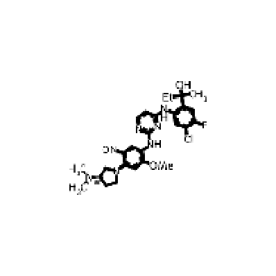 CCC(C)(O)c1cc(F)c(Cl)cc1Nc1ccnc(Nc2cc(N=O)c(N3CC[C@@H](N(C)C)C3)cc2OC)n1